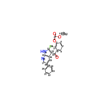 CC(C)(C)OC(=O)Oc1cccc(C(=O)c2c[nH]c3ncc(-c4ccccc4)cc23)c1F